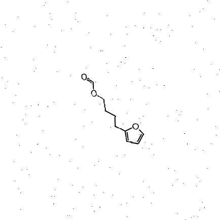 O=[C]OCCCCc1ccco1